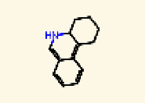 C1=c2ccccc2=C2CCCCC2N1